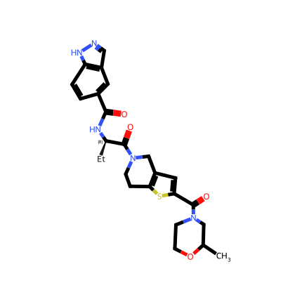 CC[C@@H](NC(=O)c1ccc2[nH]ncc2c1)C(=O)N1CCc2sc(C(=O)N3CCOC(C)C3)cc2C1